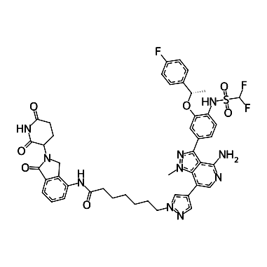 C[C@H](Oc1cc(-c2nn(C)c3c(-c4cnn(CCCCCCC(=O)Nc5cccc6c5CN(C5CCC(=O)NC5=O)C6=O)c4)cnc(N)c23)ccc1NS(=O)(=O)C(F)F)c1ccc(F)cc1